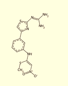 CS/C(=C\[N+](=O)[O-])Nc1cccc(-c2csc(N=C(N)N)n2)c1